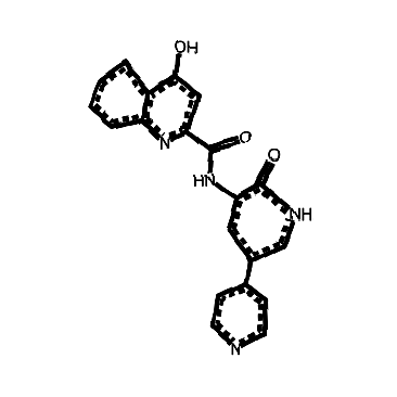 O=C(Nc1cc(-c2ccncc2)c[nH]c1=O)c1cc(O)c2ccccc2n1